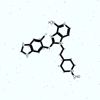 Nc1nccc2c1nc(Sc1cc3c(cc1I)OCO3)n2CCC1CCN(C=O)CC1